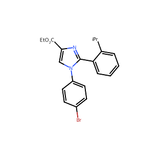 CCOC(=O)c1cn(-c2ccc(Br)cc2)c(-c2ccccc2C(C)C)n1